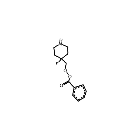 O=C(OOCC1(F)CCNCC1)c1ccccc1